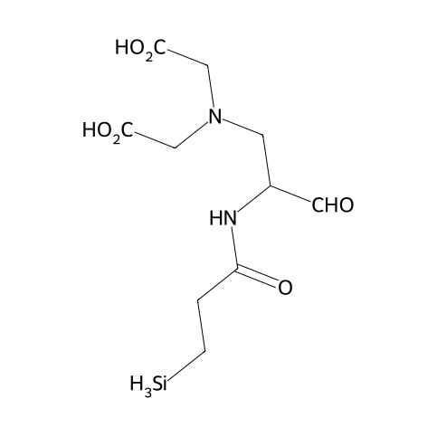 O=CC(CN(CC(=O)O)CC(=O)O)NC(=O)CC[SiH3]